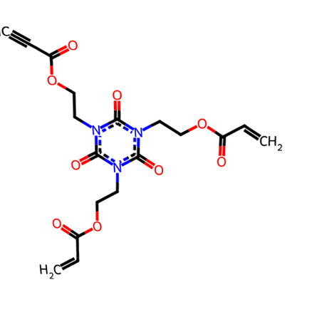 C#CC(=O)OCCn1c(=O)n(CCOC(=O)C=C)c(=O)n(CCOC(=O)C=C)c1=O